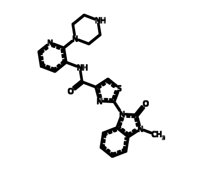 Cn1c(=O)n(-c2nc(C(=O)Nc3cccnc3N3CCNCC3)cs2)c2ccccc21